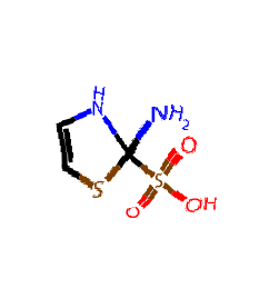 NC1(S(=O)(=O)O)NC=CS1